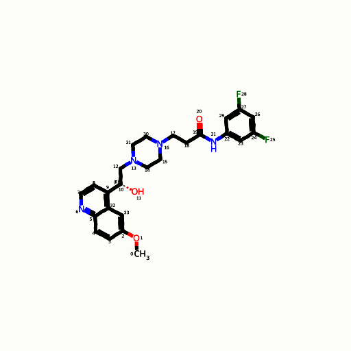 COc1ccc2nccc([C@@H](O)CN3CCN(CCC(=O)Nc4cc(F)cc(F)c4)CC3)c2c1